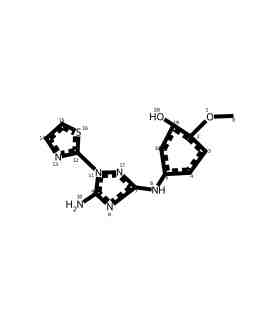 COc1ccc(Nc2nc(N)n(-c3nccs3)n2)cc1O